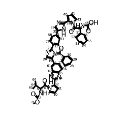 COC(=O)N[C@H](C(=O)n1cccc1-c1nc2ccc(-c3cnc4n3[C@H](c3ccccc3)Oc3cc(-c5cnc(-c6cccn6C(=O)[C@@H](NC(=O)O)c6ccccc6)[nH]5)ccc3-4)cc2[nH]1)C(C)C